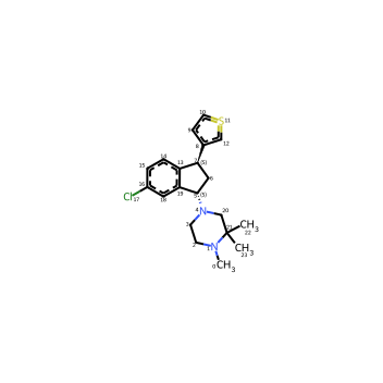 CN1CCN([C@H]2C[C@H](c3ccsc3)c3ccc(Cl)cc32)CC1(C)C